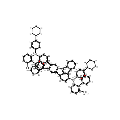 Cc1cccc(N(c2ccc(C3CCCCC3)cc2)c2ccc3c4cc5c(cc4n4c6ccccc6c2c34)c2ccc(N(c3ccc(C4CCCCC4)cc3)c3cccc(C)c3-c3ccccc3)c3c4ccccc4n5c23)c1-c1ccccc1